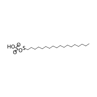 CCCCCCCCCCCCCCCCCCSOS(=O)(=O)O